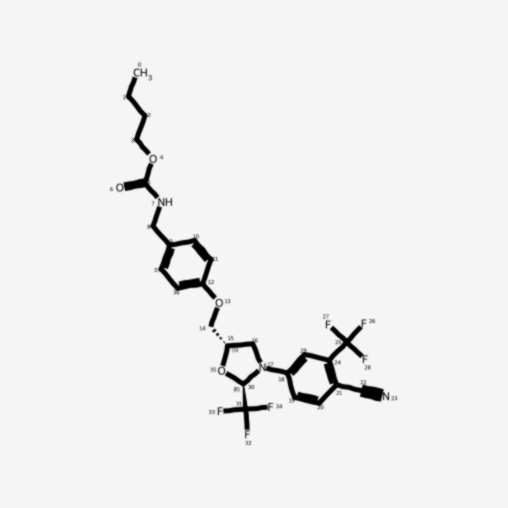 CCCCOC(=O)NCc1ccc(OC[C@@H]2CN(c3ccc(C#N)c(C(F)(F)F)c3)[C@@H](C(F)(F)F)O2)cc1